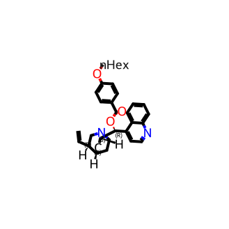 C=C[C@H]1CN2CC[C@H]1C[C@H]2[C@H](OC(=O)c1ccc(OCCCCCC)cc1)c1ccnc2ccccc12